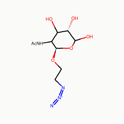 CC(=O)NC1C(O)[C@H](O)C(O)O[C@H]1OCCN=[N+]=[N-]